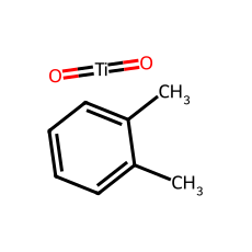 Cc1ccccc1C.[O]=[Ti]=[O]